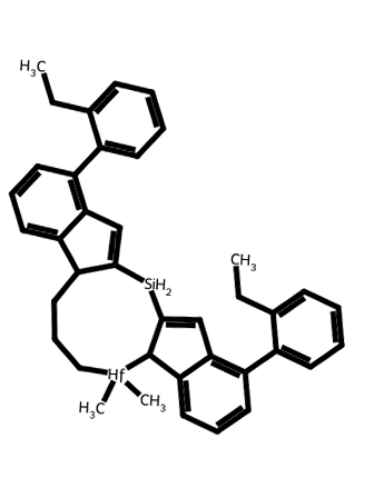 CCc1ccccc1-c1cccc2c1C=C1[SiH2]C3=Cc4c(-c5ccccc5CC)cccc4[CH]3[Hf]([CH3])([CH3])[CH2]CCC12